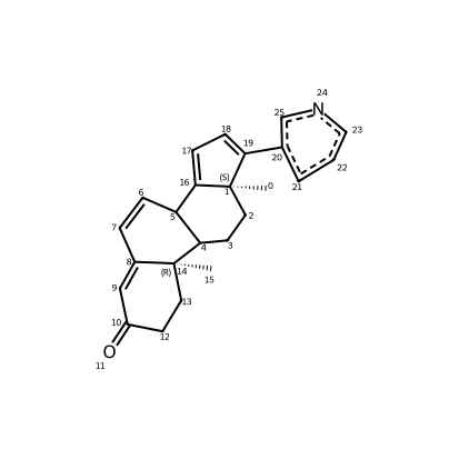 C[C@]12CCC3C(C=CC4=CC(=O)CC[C@@]43C)C1=CC=C2c1cccnc1